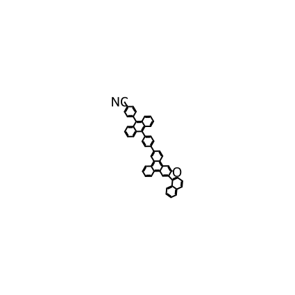 N#Cc1ccc(-c2c3ccccc3c(-c3ccc(-c4ccc5c(c4)c4ccccc4c4cc6c(cc54)oc4ccc5ccccc5c46)cc3)c3ccccc23)cc1